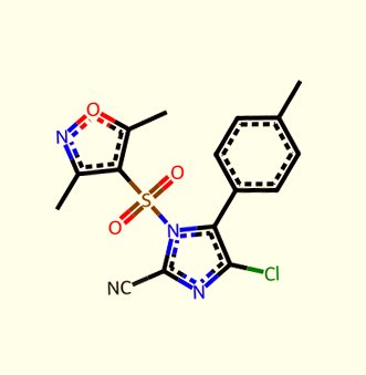 Cc1ccc(-c2c(Cl)nc(C#N)n2S(=O)(=O)c2c(C)noc2C)cc1